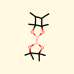 CC1C(C)C2(C)OB(B3OC(C)(C)C(C)(C)O3)OC12C